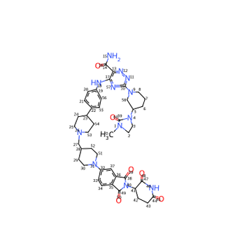 CN1CCN(C2CCCN(c3nnc(C(N)=O)c(Nc4ccc(C5CCN(CC6CCN(c7ccc8c(c7)C(=O)N(C7CCC(=O)NC7=O)C8=O)CC6)CC5)cc4)n3)C2)C1=O